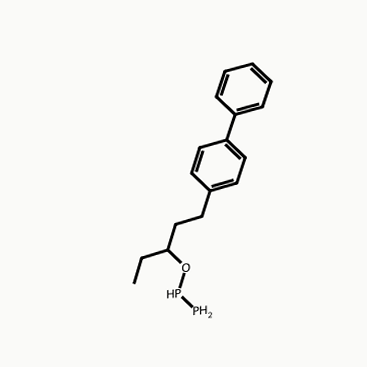 CCC(CCc1ccc(-c2ccccc2)cc1)OPP